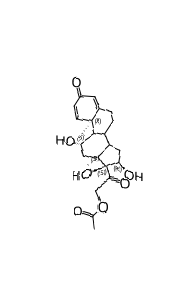 CC(=O)OCC(=O)[C@@]1(O)[C@H](O)CC2C3CCC4=CC(=O)C=C[C@]4(C)C3[C@@H](O)C[C@@]21C